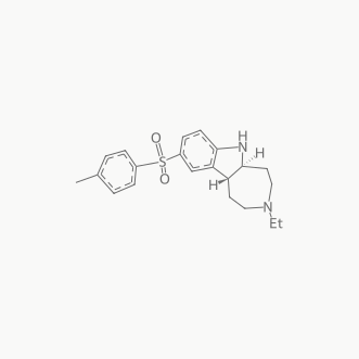 CCN1CC[C@@H]2Nc3ccc(S(=O)(=O)c4ccc(C)cc4)cc3[C@H]2CC1